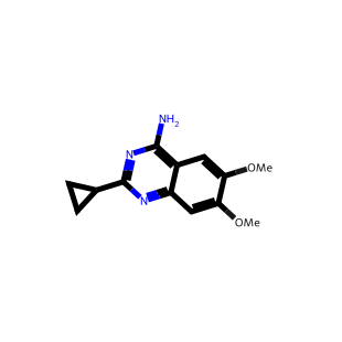 COc1cc2nc(C3CC3)nc(N)c2cc1OC